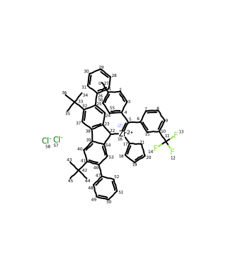 Cc1ccc(/[C](c2cccc(C(F)(F)F)c2)=[Zr+2](/[C]2=CC=CC2)[CH]2c3cc(-c4ccccc4)c(C(C)(C)C)cc3-c3cc(C(C)(C)C)c(-c4ccccc4)cc32)cc1.[Cl-].[Cl-]